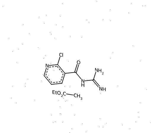 CCOC(C)=O.N=C(N)NC(=O)c1cccnc1Cl